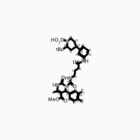 COC(=O)C1=C(C)NC(=O)N(C(=O)NCCCC(=O)Nc2cccc(C3CCN(C(=O)O)C(C(C)(C)C)C3)c2)C1c1ccc(F)c(F)c1